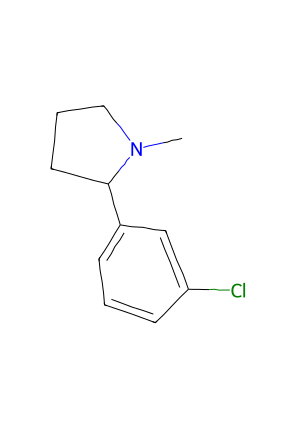 CN1CCCC1c1cccc(Cl)c1